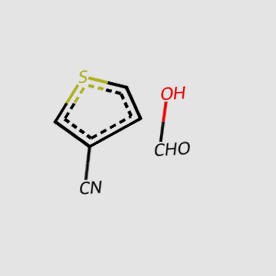 N#Cc1ccsc1.O=CO